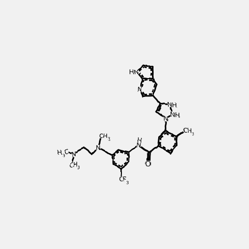 Cc1ccc(C(=O)Nc2cc(N(C)CCN(C)C)cc(C(F)(F)F)c2)cc1N1C=C(c2cnc3[nH]ccc3c2)NN1